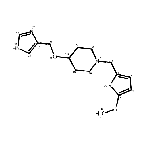 CSc1ccc(CN2CCC(OCc3c[nH]cn3)CC2)s1